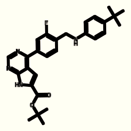 CC(C)(C)OC(=O)c1cc2c(-c3ccc(CNc4ccc(C(C)(C)C)cc4)c(F)c3)ncnc2[nH]1